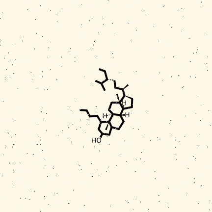 CCCCC1CC(O)CC2CC[C@@H]3[C@H](CC[C@]4(C)[C@@H]([C@H](C)CC[C@@H](CC)C(C)C)CC[C@@H]34)[C@@]12C